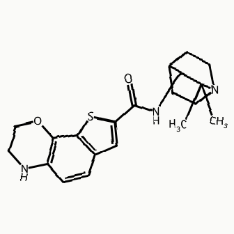 CC1(C)C(NC(=O)c2cc3ccc4c(c3s2)OCCN4)C2CCN1CC2